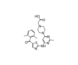 Cc1nc(Nc2ncc(C(=O)c3c(C)cccc3C)s2)cc(N2CCN(CC(=O)O)CC2)n1